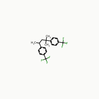 CC(CC(C)(C)c1ccc(C(F)(F)F)cc1)c1ccc(C(F)(F)F)cc1